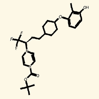 Cc1c(O)cccc1OC1CCC(CC[C@@H](N2C=CN(C(=O)OC(C)(C)C)C=C2)C(F)(F)F)CC1